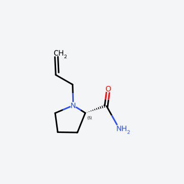 C=CCN1CCC[C@H]1C(N)=O